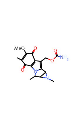 COC1=C(C)C(=O)c2c(c(COC(N)=O)c3n2C(C)C2C3N2C)C1=O